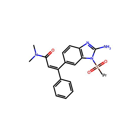 CC(C)S(=O)(=O)n1c(N)nc2ccc(/C(=C\C(=O)N(C)C)c3ccccc3)cc21